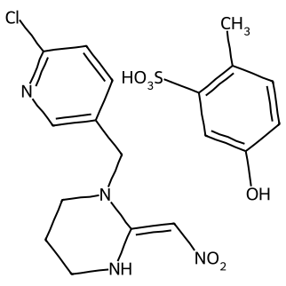 Cc1ccc(O)cc1S(=O)(=O)O.O=[N+]([O-])C=C1NCCCN1Cc1ccc(Cl)nc1